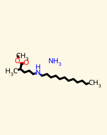 CCCCCCCCCCCCNCCCC(C)C(=O)OC.N